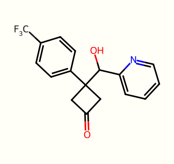 O=C1CC(c2ccc(C(F)(F)F)cc2)(C(O)c2ccccn2)C1